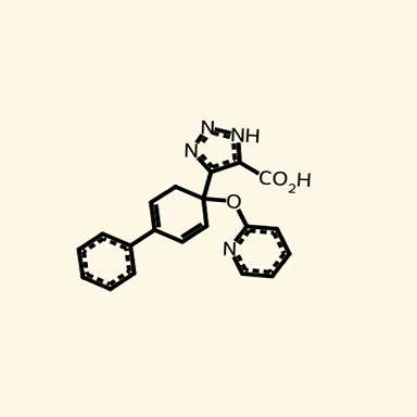 O=C(O)c1[nH]nnc1C1(Oc2ccccn2)C=CC(c2ccccc2)=CC1